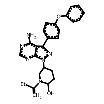 C=C(CC)N1CC(n2nc(-c3ccc(Oc4ccccc4)cc3)c3c(N)ncnc32)CCC1O